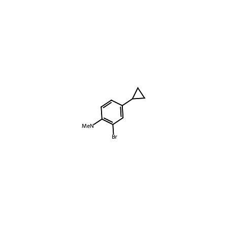 CNc1ccc(C2CC2)cc1Br